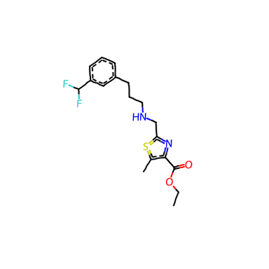 CCOC(=O)c1nc(CNCCCc2cccc(C(F)F)c2)sc1C